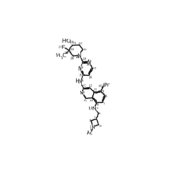 CC(=O)N1CC(CNc2ccc(C(C)C)c3cc(Nc4ccnc(N5CC[C@@H](O)[C@@](C)(F)C5)n4)ncc23)C1